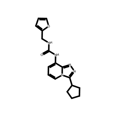 O=C(NCc1ccco1)Nc1cccn2c(C3CCCC3)nnc12